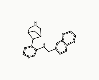 c1cc(N2C3CNCC2C3)c(NCc2ccc3nccnc3c2)cn1